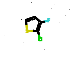 Fc1ccsc1Cl